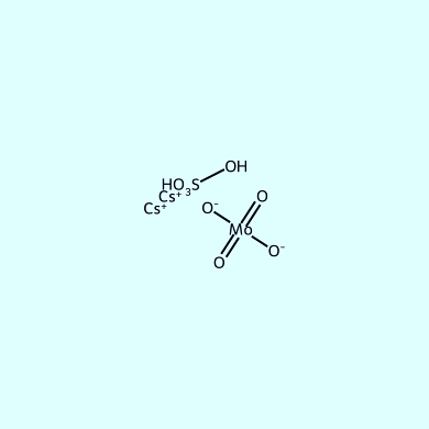 O=S(=O)(O)O.[Cs+].[Cs+].[O]=[Mo](=[O])([O-])[O-]